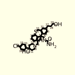 NC(=O)NCC1(CCCN2CCC(O)(c3ccc(Cl)cc3)CC2)c2ccc(CCCO)cc2CSc2ccccc21